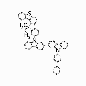 CC1(C)c2cc(-n3c4ccccc4c4ccc(-c5ccc6c7ccccc7n(-c7ccc(-c8ccccc8)cc7)c6c5)cc43)ccc2-c2ccc3sc4ccccc4c3c21